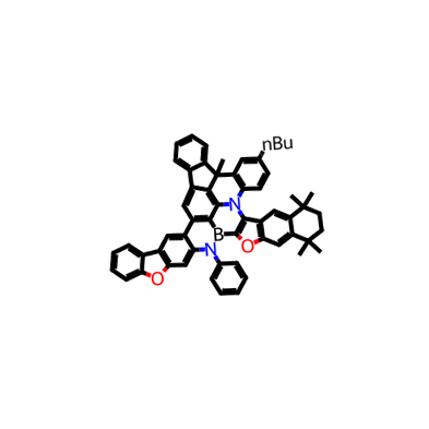 CCCCc1ccc2c(c1)C1(C)c3ccccc3-c3cc4c5c(c31)N2c1c(oc2cc3c(cc12)C(C)(C)CCC3(C)C)B5N(c1ccccc1)c1cc2oc3ccccc3c2cc1-4